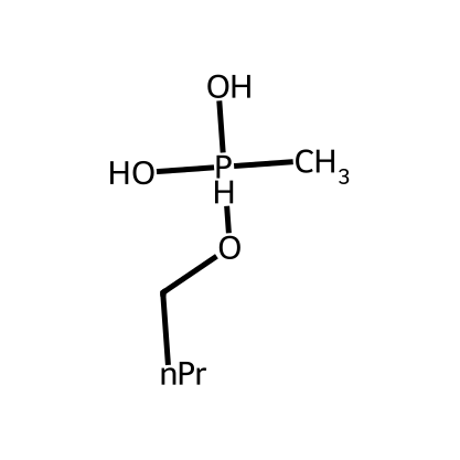 CCCCO[PH](C)(O)O